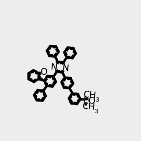 CP(C)(=O)c1cccc(-c2ccc(-c3nc(-c4ccccc4)c(-c4ccccc4)nc3-c3ccc(-c4ccccc4)c4c3oc3ccccc34)cc2)c1